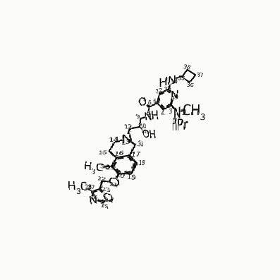 CCCN(C)c1cc(C(=O)NCC(O)CN2CCc3c(ccc(OCc4ocnc4C)c3C)C2)cc(NC2CCC2)n1